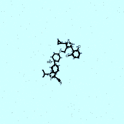 CC(C)n1nc(C#N)c2ccc([C@]3(O)CC[C@@H](OCc4c(-c5c(Cl)cccc5Cl)noc4C4CC4)CC3)cc21